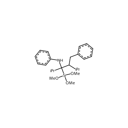 CO[Si](OC)(OC)C(Nc1ccccc1)(C(C)C)C(Cc1ccccc1)C(C)C